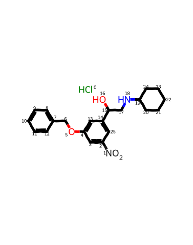 Cl.O=[N+]([O-])c1cc(OCc2ccccc2)cc(C(O)CNC2CCCCC2)c1